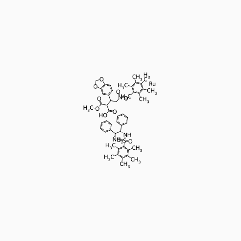 COC(=O)C(C(=O)O)C(C[N+](=O)[O-])c1ccc2c(c1)OCO2.Cc1c(C)c(C)c(C)c(C)c1C.Cc1c(C)c(C)c(S(=O)(=O)N[C@@H](c2ccccc2)[C@@H](N)c2ccccc2)c(C)c1C.[Ru]